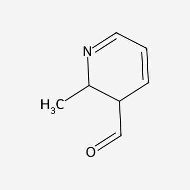 CC1N=CC=CC1C=O